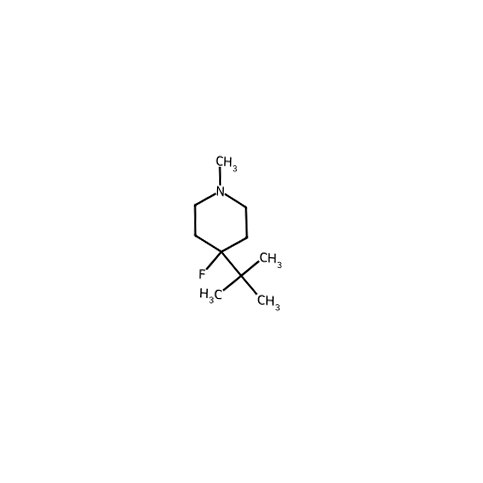 CN1CCC(F)(C(C)(C)C)CC1